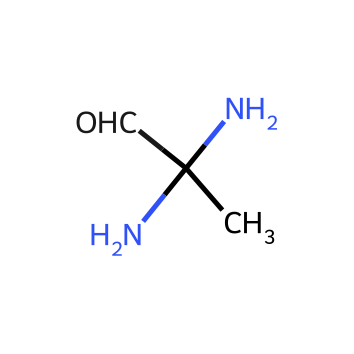 CC(N)(N)C=O